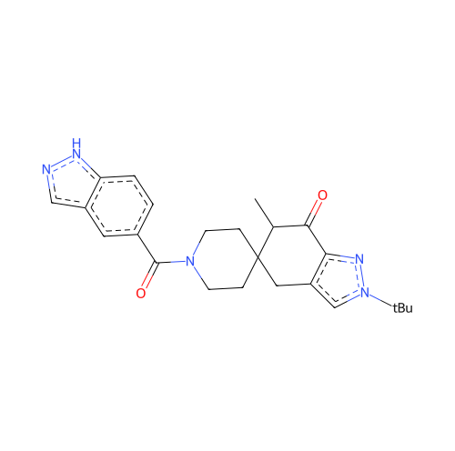 CC1C(=O)c2nn(C(C)(C)C)cc2CC12CCN(C(=O)c1ccc3[nH]ncc3c1)CC2